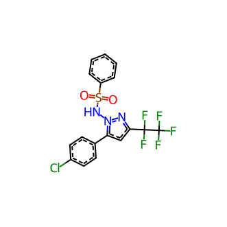 O=S(=O)(Nn1nc(C(F)(F)C(F)(F)F)cc1-c1ccc(Cl)cc1)c1ccccc1